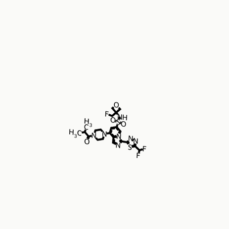 CC(C)C(=O)N1CCN(c2cc(S(=O)(=O)NC3(CF)COC3)cn3c(-c4nnc(C(F)F)s4)ncc23)CC1